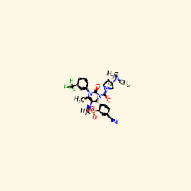 [C-]#[N+]C1=C(C)N(c2cccc(C(F)(F)F)c2)C(=O)N(C(=O)N2CC[C@@H](N(C)C)C2)[C@@H]1c1ccc(C#N)cc1S(C)(=O)=O